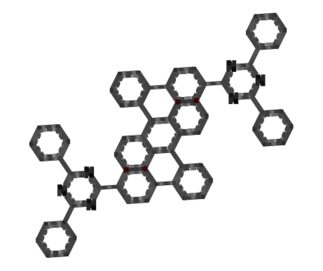 c1ccc(-c2nc(-c3ccccc3)nc(-c3ccc(-c4ccccc4-c4c5ccccc5c(-c5ccccc5-c5ccc(-c6nc(-c7ccccc7)nc(-c7ccccc7)n6)cc5)c5ccccc45)cc3)n2)cc1